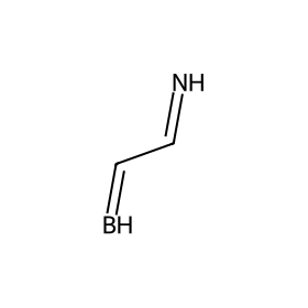 B=CC=N